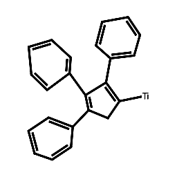 [Ti][C]1=C(c2ccccc2)C(c2ccccc2)=C(c2ccccc2)C1